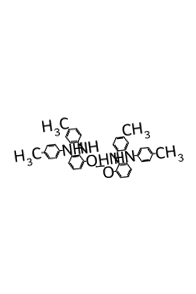 Cc1ccc(Nc2cccc(OCCOc3cccc(Nc4ccc(C)cc4)c3Nc3ccc(C)cc3)c2Nc2ccc(C)cc2)cc1